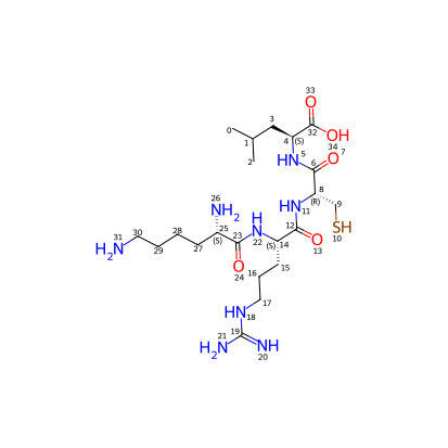 CC(C)C[C@H](NC(=O)[C@H](CS)NC(=O)[C@H](CCCNC(=N)N)NC(=O)[C@@H](N)CCCCN)C(=O)O